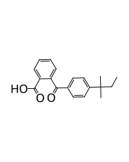 CCC(C)(C)c1ccc(C(=O)c2ccccc2C(=O)O)cc1